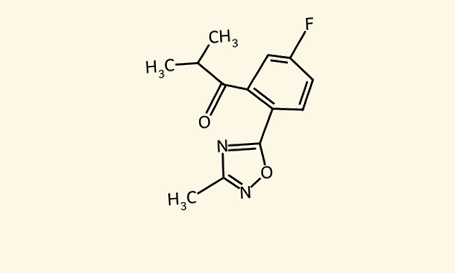 Cc1noc(-c2ccc(F)cc2C(=O)C(C)C)n1